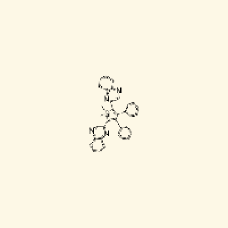 C[Si]1(C)C(c2cnc3ccccc3n2)=C(c2ccccc2)C(c2ccccc2)=C1c1cnc2ccccc2n1